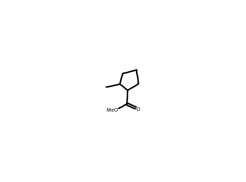 [CH2]OC(=O)C1CCCC1C